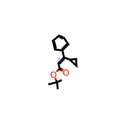 CC(C)(C)OC(=O)/C=C(/c1ccccc1)C1CC1